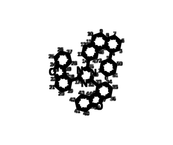 c1ccc(-c2cccc3ccc4ccc(-c5nc(-c6cccc7oc8ccccc8c67)nc(-c6cccc7oc8ccccc8c67)n5)cc4c23)cc1